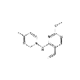 CSc1ncc(C=O)c(NN2C=CC(C)=NC2)n1